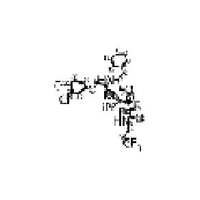 CC(C)[C@H](NC(=O)C(Cc1ccccc1)NC(=O)COc1ccc(Cl)c(Cl)c1)C(=O)C(F)(F)C(=O)NCCC(F)(F)F